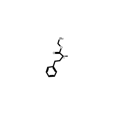 C[C@@H](CCc1ccccc1)C(=O)OCC(C)(C)C